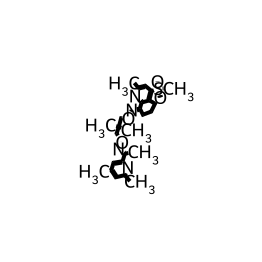 C/C(=N\OCC(C)(C)CO/N=C1\CCCc2c(S(C)(=O)=O)cc(C)nc21)c1cc(C)cc(C)n1